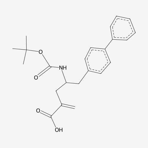 C=C(CC(Cc1ccc(-c2ccccc2)cc1)NC(=O)OC(C)(C)C)C(=O)O